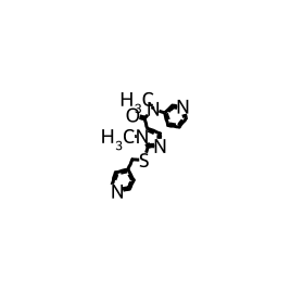 CN(C(=O)c1cnc(SCc2ccncc2)n1C)c1cccnc1